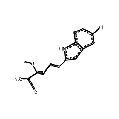 CO/C(=C\C=C\c1cc2cc(Cl)ccc2[nH]1)C(=O)O